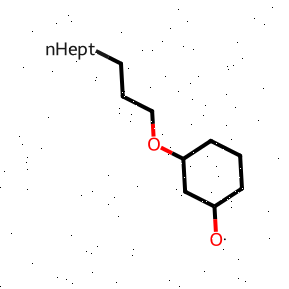 [CH2]CCCCCCCCCOC1CCCC([O])C1